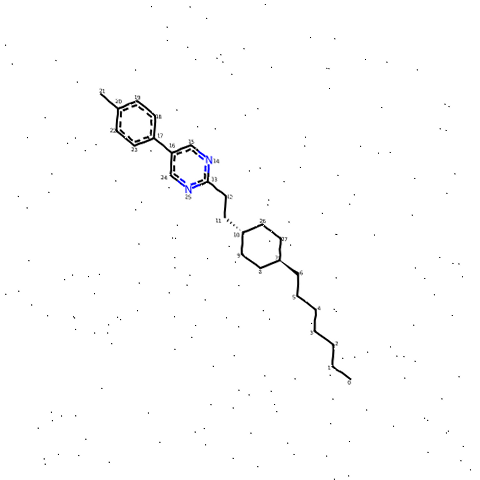 CCCCCCC[C@H]1CC[C@H](CCc2ncc(-c3ccc(C)cc3)cn2)CC1